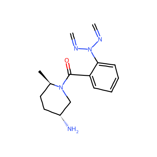 C=NN(N=C)c1ccccc1C(=O)N1C[C@H](N)CC[C@H]1C